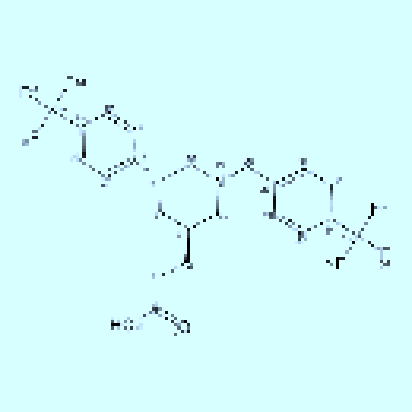 O=C(O)CC[C@H]1C[C@H](c2ccc(C(F)(F)F)cc2)CN(Cc2ccc(C(F)(F)F)cc2)C1